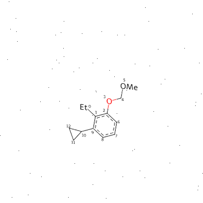 CCc1c(OCOC)cccc1C1CC1